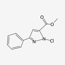 COC(=O)c1cc(-c2ccccc2)nn1Cl